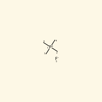 C[P+](C)(C)C.[F-]